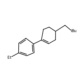 CCc1ccc(C2=CCC(CC(C)CC)CC2)cc1